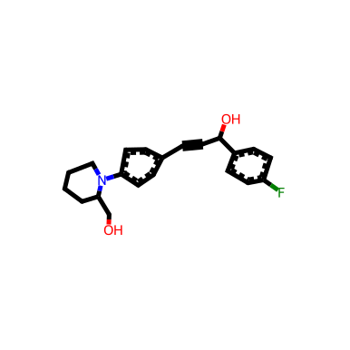 OCC1CCCCN1c1ccc(C#CC(O)c2ccc(F)cc2)cc1